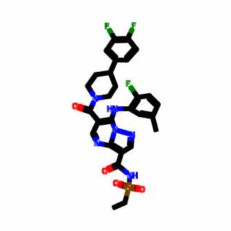 CCS(=O)(=O)NC(=O)c1cnn2c(Nc3cc(C)ccc3F)c(C(=O)N3CCC(c4ccc(F)c(F)c4)CC3)cnc12